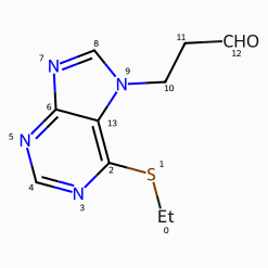 CCSc1ncnc2ncn(CCC=O)c12